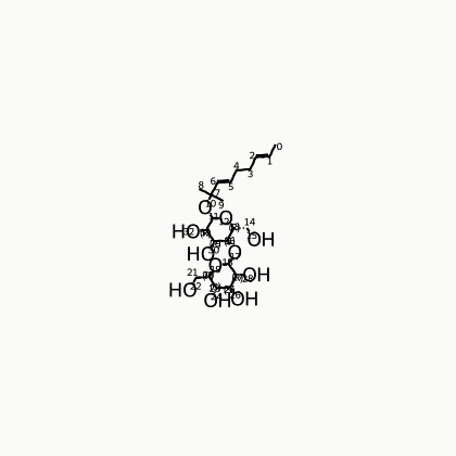 CC=CCCC=CC(C)(C)OC1O[C@H](CO)[C@@H](OC2O[C@H](CO)[C@@H](O)[C@H](O)[C@H]2O)[C@H](O)[C@H]1O